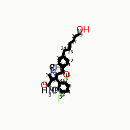 Cc1c(F)ccc(F)c1-c1c(C(N)=O)cn(C)c1C(=O)c1ccc(CCCCCCO)cc1